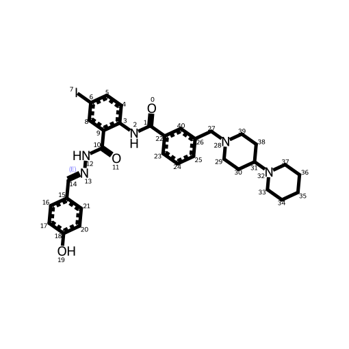 O=C(Nc1ccc(I)cc1C(=O)N/N=C/c1ccc(O)cc1)c1cccc(CN2CCC(N3CCCCC3)CC2)c1